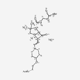 CC(=O)NCCOC1CCN(C=N[C@@H]2C(=O)N3[C@@H]2SC(C)(C)[C@@H]3C(=O)OCOC(=O)C(C)(C)C)CC1.Cl